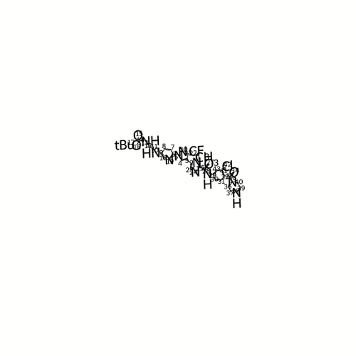 Cn1c(-c2cn(-c3ccc(NCCNC(=O)OC(C)(C)C)cn3)nc2C(F)(F)F)cnc1C(=O)Nc1ccc(C(=O)N2CCNCC2)c(Cl)c1